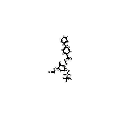 C=C1[C@H](OC=O)C[C@H](O[Si](C)(C)C(C)(C)C)[C@H]1COC(=O)c1ccc(-c2ccccc2)cc1